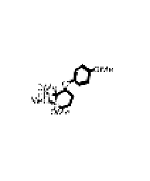 CCCC1(OC)C(Oc2ccc(OC)cc2)CCC[Si]1(OC)OC